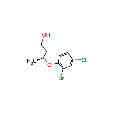 C[C@@H](CCO)Oc1ccc(Cl)cc1Br